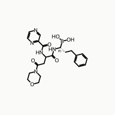 O=C(NC(CC(=O)N1CCOCC1)C(=O)N[C@@H](CCc1ccccc1)B(O)O)c1cnccn1